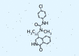 C[C@@H](c1c[nH]c(=O)c2ccccc12)N(C)C(=O)Nc1ccc(Cl)cc1